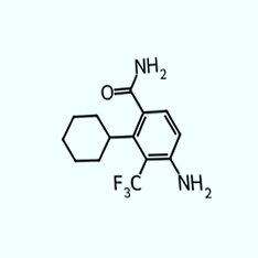 NC(=O)c1ccc(N)c(C(F)(F)F)c1C1CCCCC1